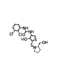 O=C(Nc1csc(SN2CCC[C@@H]2CO)c1O)Nc1cccc(Cl)c1Cl